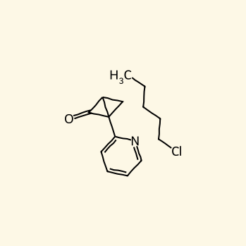 CCCCCCl.O=C1C2CC12c1ccccn1